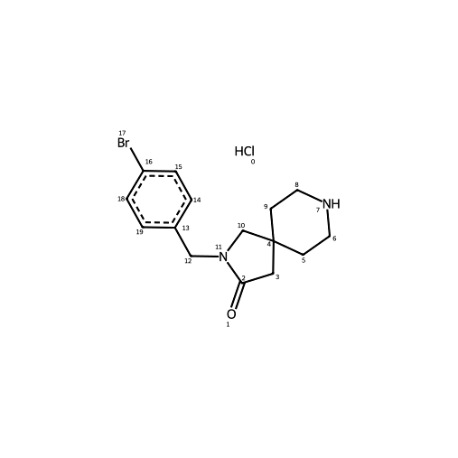 Cl.O=C1CC2(CCNCC2)CN1Cc1ccc(Br)cc1